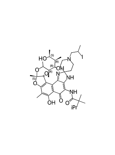 Cc1c(O)c2c(c3c1O[C@](C)(OC(C)[C@H](C)[C@H](O)[C@H](C)[C@H](C)O)C3=O)C1=NC3(CCN(CC(C)I)CC3)NC1=C(NC(=O)C(C)(C)C(C)C)C2=O